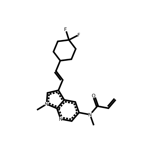 C=CC(=O)N(C)c1cnc2c(c1)c(C=CC1CCC(F)(F)CC1)cn2C